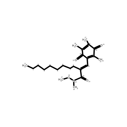 CCCCCCCCCC(=CC1=C(C)C(=O)C(C)=C(C)C1=O)C(=O)N(C)OC